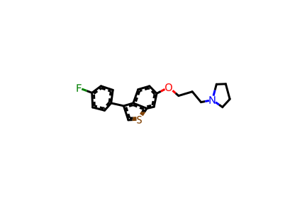 Fc1ccc(-c2csc3cc(OCCCN4CCCC4)ccc23)cc1